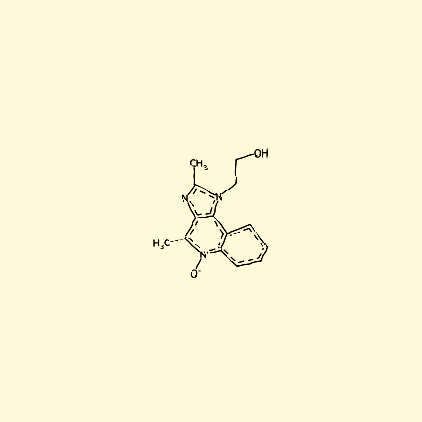 Cc1nc2c(C)[n+]([O-])c3ccccc3c2n1CCO